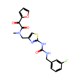 CN(Cc1csc(NC(=O)NCc2cccc(F)c2)n1)C(=O)C(=O)c1ccco1